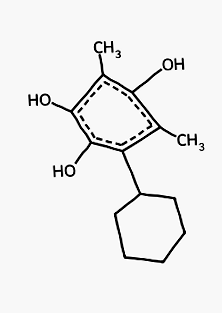 Cc1c(O)c(C)c(C2CCCCC2)c(O)c1O